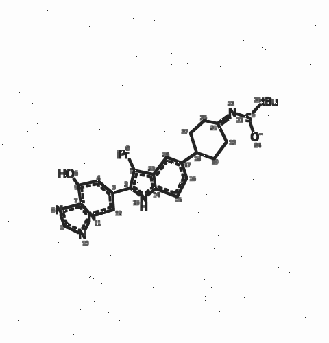 CC(C)c1c(-c2cc(O)c3ncnn3c2)[nH]c2ccc(C3CCC(=N[S+]([O-])C(C)(C)C)CC3)cc12